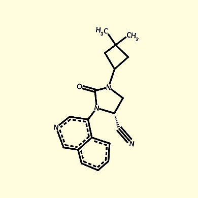 CC1(C)CC(N2C[C@H](C#N)N(c3cncc4ccccc34)C2=O)C1